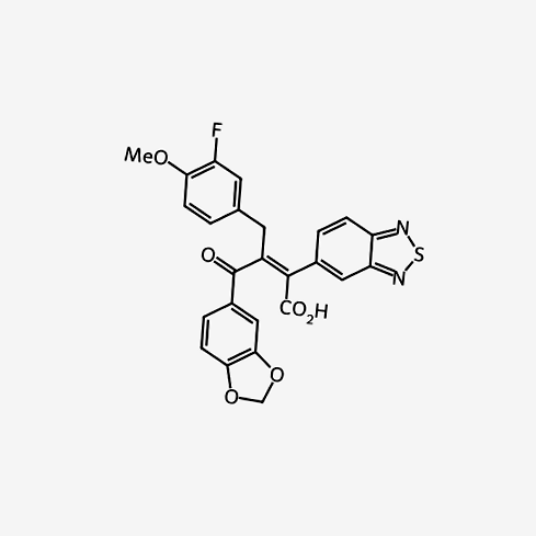 COc1ccc(CC(C(=O)c2ccc3c(c2)OCO3)=C(C(=O)O)c2ccc3nsnc3c2)cc1F